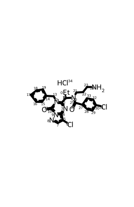 CC[C@H](c1nc2c(Cl)cnn2c(=O)n1Cc1ccccc1)N(CCCN)C(=O)c1ccc(Cl)cc1.Cl